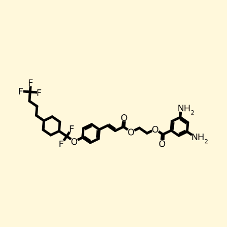 Nc1cc(N)cc(C(=O)OCCOC(=O)C=Cc2ccc(OC(F)(F)C3CCC(CCCC(F)(F)F)CC3)cc2)c1